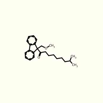 COCC1(C(=O)CCCCCCC(C)C)c2ccccc2-c2ccccc21